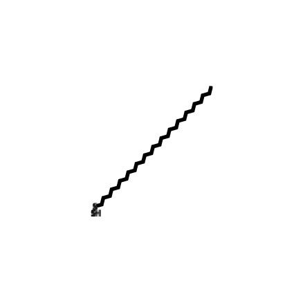 CCCCCCCCCCCCCCCCCCCCCCCCCCCCSS